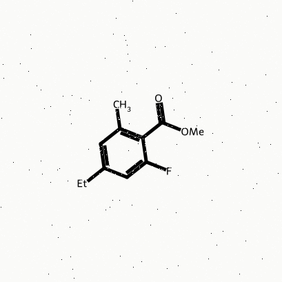 CCc1cc(C)c(C(=O)OC)c(F)c1